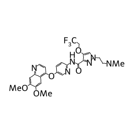 CNCCn1cc(OCC(F)(F)F)c(C(=O)Nc2ccc(Oc3ccnc4cc(OC)c(OC)cc34)cn2)n1